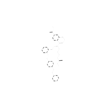 C=C(CC)CCCCN(CCc1ccccc1OCc1ccc(CCc2ccccc2)cc1)C1CCCc2cc(C(=O)OC)ccc21